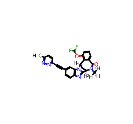 [2H]C([2H])([2H])N1C(=O)c2cccc(OC(F)F)c2[C@H]2C[C@@H]1c1nc3ccc(C#Cc4ccc(C)nn4)cc3n12